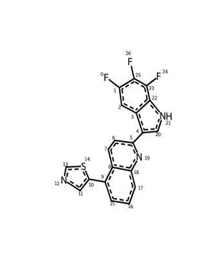 Fc1cc2c(-c3ccc4c(-c5cncs5)cccc4n3)c[nH]c2c(F)c1F